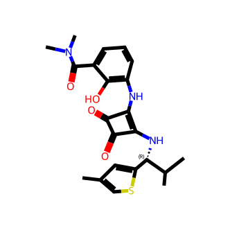 Cc1csc([C@H](Nc2c(Nc3cccc(C(=O)N(C)C)c3O)c(=O)c2=O)C(C)C)c1